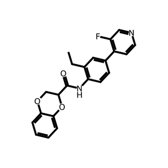 CCc1cc(-c2ccncc2F)ccc1NC(=O)C1COc2ccccc2O1